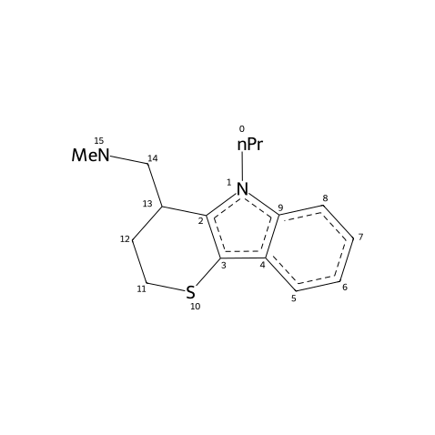 CCCn1c2c(c3ccccc31)SCCC2CNC